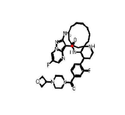 Nc1nn2cc(F)cnc2c1C(=O)NC1C(c2ccc(C(=O)N3CCN(C4COC4)CC3)cc2F)CCNC12CCCCCCCCCC2